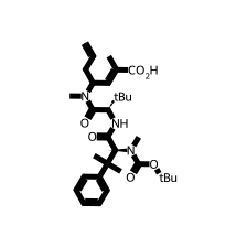 C=CCC(/C=C(\C)C(=O)O)N(C)C(=O)[C@@H](NC(=O)[C@@H](N(C)C(=O)OC(C)(C)C)C(C)(C)c1ccccc1)C(C)(C)C